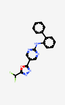 FC(F)c1nnc(-c2cnc(Nc3ccccc3-c3ccccc3)nc2)o1